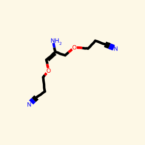 N#CCCO/C=C(/N)COCCC#N